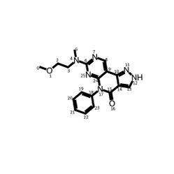 COCCN(C)c1ncc2c3n[nH]cc3c(=O)n(-c3ccccc3)c2n1